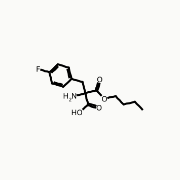 CCCCOC(=O)C(N)(Cc1ccc(F)cc1)C(=O)O